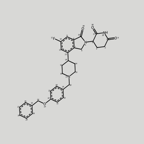 O=C1CCC(N2Cc3c(cc(F)cc3C3CCN(Cc4ccc(OCc5ccccc5)cc4)CC3)C2=O)C(=O)N1